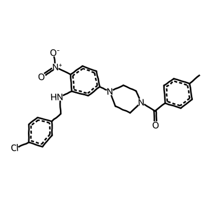 Cc1ccc(C(=O)N2CCN(c3ccc([N+](=O)[O-])c(NCc4ccc(Cl)cc4)c3)CC2)cc1